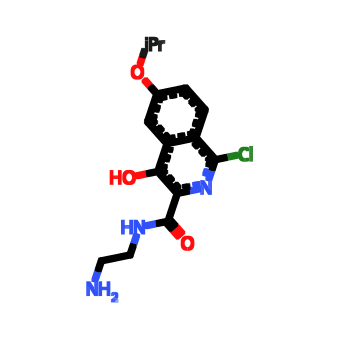 CC(C)Oc1ccc2c(Cl)nc(C(=O)NCCN)c(O)c2c1